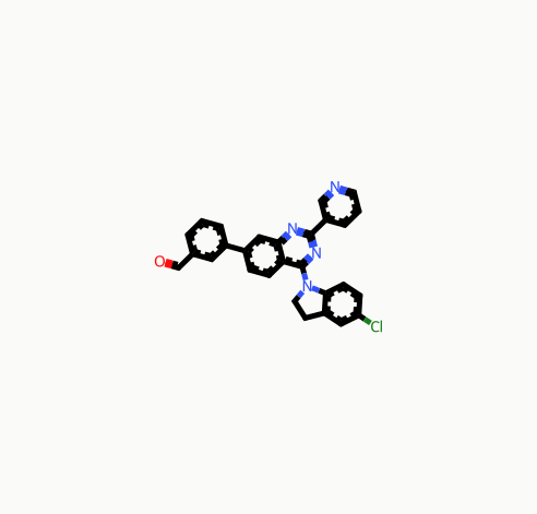 O=Cc1cccc(-c2ccc3c(N4CCc5cc(Cl)ccc54)nc(-c4cccnc4)nc3c2)c1